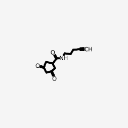 C#CCCCNC(=O)C1CC(=O)CC(=O)C1